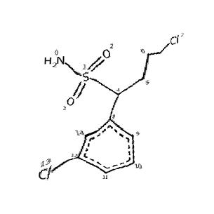 NS(=O)(=O)C(CCCl)c1cccc(Cl)c1